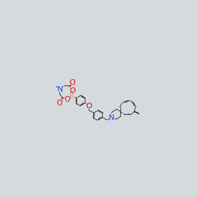 C=C1/C=C\C=C/CC2(/C=C\1)CCN(Cc1ccc(COc3ccc(B4OC(=O)CN(C)CC(=O)O4)cc3)cc1)CC2